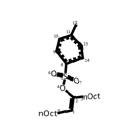 CCCCCCCC/C=C(/CCCCCCCC)OS(=O)(=O)c1ccc(C)cc1